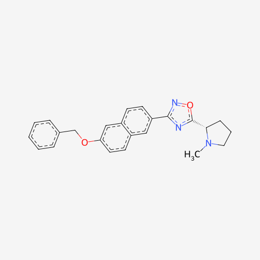 CN1CCC[C@H]1c1nc(-c2ccc3cc(OCc4ccccc4)ccc3c2)no1